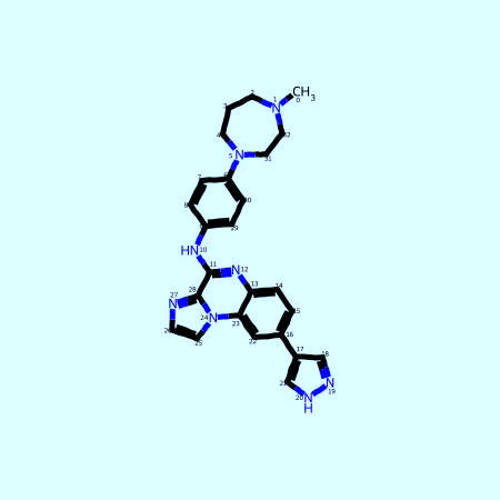 CN1CCCN(c2ccc(Nc3nc4ccc(-c5cn[nH]c5)cc4n4ccnc34)cc2)CC1